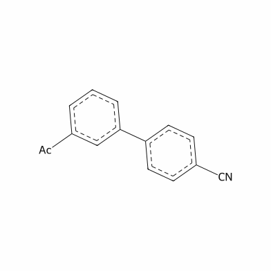 CC(=O)c1cccc(-c2ccc(C#N)cc2)c1